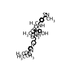 Cc1ncsc1-c1ccc(C(C)NC(=O)[C@@H]2C[C@@H](O)CN2C(=O)C(NC(=O)CC2CCN(c3ccc(C(=O)OC(C)(C)C)nc3)CC2)C(C)(C)C)cc1